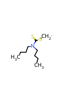 [CH2]SC(=S)N(CCCC)CCCC